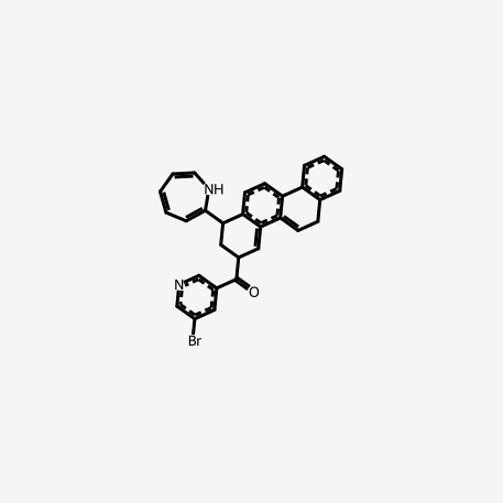 O=C(c1cncc(Br)c1)C1C=c2c(ccc3c2=CCc2ccccc2-3)C(C2=CC=CC=CN2)C1